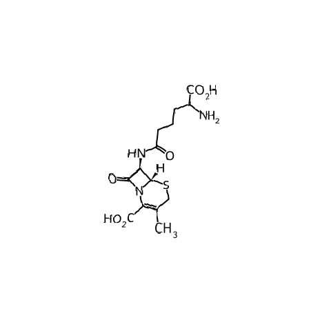 CC1=C(C(=O)O)N2C(=O)[C@@H](NC(=O)CCCC(N)C(=O)O)[C@@H]2SC1